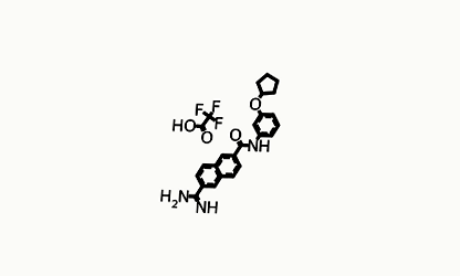 N=C(N)c1ccc2cc(C(=O)Nc3cccc(OC4CCCC4)c3)ccc2c1.O=C(O)C(F)(F)F